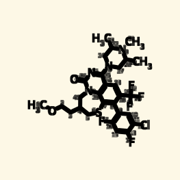 COCCC1CSc2c(-c3cc(Cl)c(F)cc3F)c(C(F)(F)F)cc3c(N4CC(C)N(C)C(C)C4)nc(=O)n(c23)C1